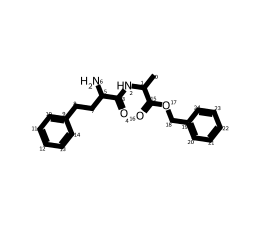 CC(NC(=O)C(N)CCc1ccccc1)C(=O)OCc1ccccc1